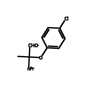 CCCC(C)([C]=O)Oc1ccc(Cl)cc1